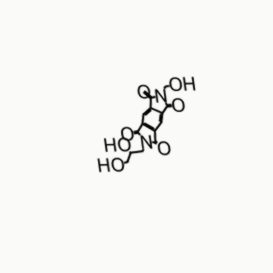 O=c1c2cc3c(=O)n(CC(O)CO)c(=O)c3cc2c(=O)n1CO